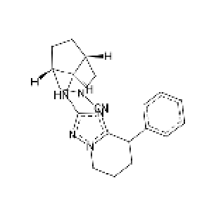 N#CN1C[C@H]2CC[C@@H](C1)[C@@H]2Nc1nc2n(n1)CCCC2c1ccccc1